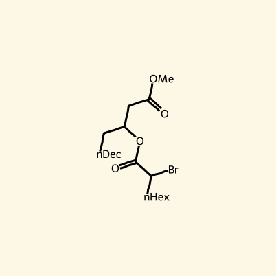 CCCCCCCCCCCC(CC(=O)OC)OC(=O)C(Br)CCCCCC